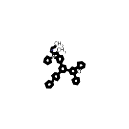 C=C/C=C\c1c(C)c2ccc(-c3cc(-c4ccc(-c5ccccc5)cc4)cc(-c4cc(-c5ccccc5)c5oc6ccccc6c5c4)c3)cc2n1-c1ccccc1